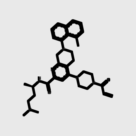 C=CC(=O)N1CCN(c2cc(C(=O)N[C@H](C)CCN(C)C)nc3c2CCN(c2cccc4cccc(C)c24)C3)CC1